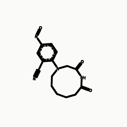 N#Cc1cc(N=O)ccc1N1CCCCCC(=O)NC(=O)C1